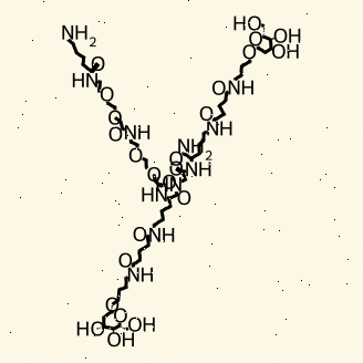 NCCCCCC(=O)NCCOCCOCC(=O)NCCOCCOCC(=O)NC(CCCCNC(=O)CCCC(=O)NCCCCO[C@H]1C[C@@H](O)[C@@H](O)[C@@H](CO)O1)C(=O)NCC(=O)NC(CCCCNC(=O)CCCC(=O)NCCCCO[C@H]1C[C@@H](O)[C@@H](O)[C@@H](CO)O1)C(N)=O